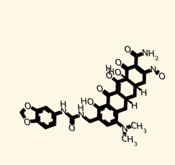 CN(C)c1cc(CNC(=O)Nc2ccc3c(c2)OCO3)c(O)c2c1C[C@H]1C[C@H]3CC(N=O)=C(C(N)=O)C(=O)[C@@]3(O)C(O)=C1C2=O